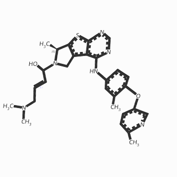 Cc1ccc(Oc2ccc(Nc3ncnc4sc5c(c34)CN(C(O)/C=C/CN(C)C)[C@H]5C)cc2C)cn1